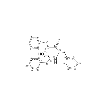 O=C(OCc1ccccc1)C(Cc1ccccc1)N[C@@H](Cc1ccccc1)C(=O)O